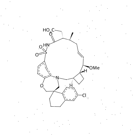 CO[C@@H]1/C=C/C[C@H](C)[C@@H](CC(=O)O)C(=O)NS(=O)(=O)c2ccc3c(c2)N(C[C@@H]2CC[C@H]21)C[C@@]1(CCCc2cc(Cl)ccc21)CO3